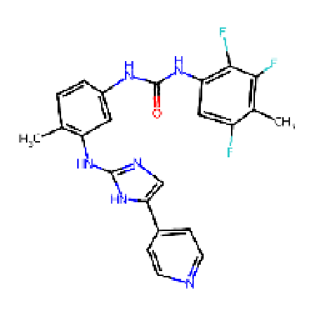 Cc1ccc(NC(=O)Nc2cc(F)c(C)c(F)c2F)cc1Nc1ncc(-c2ccncc2)[nH]1